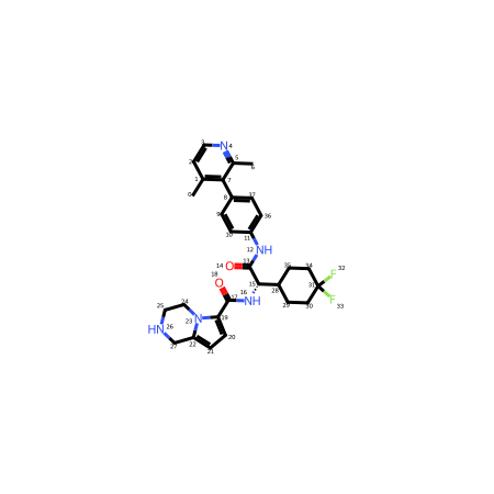 Cc1ccnc(C)c1-c1ccc(NC(=O)[C@@H](NC(=O)c2ccc3n2CCNC3)C2CCC(F)(F)CC2)cc1